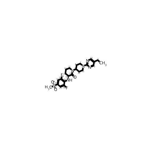 CCc1cnc(N2CCC(N3CCC[C@H](Nc4c(F)cc(S(C)(=O)=O)cc4F)C3=O)CC2)nc1